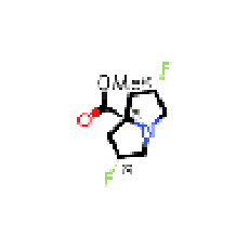 COC(=O)[C@@]12C[C@H](F)CN1C[C@H](F)C2